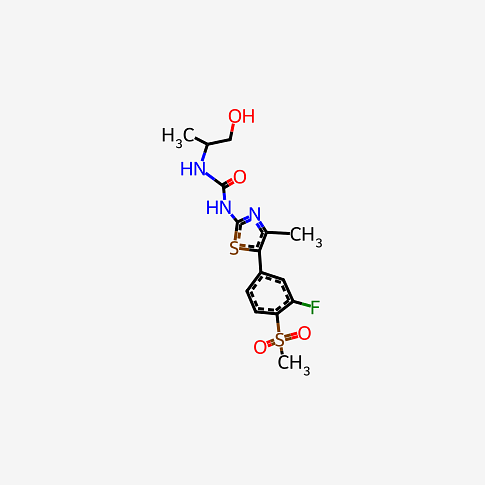 Cc1nc(NC(=O)NC(C)CO)sc1-c1ccc(S(C)(=O)=O)c(F)c1